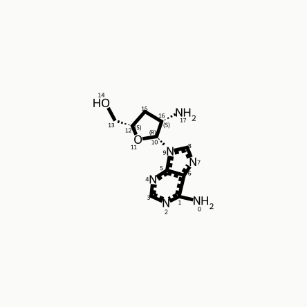 Nc1ncnc2c1ncn2[C@@H]1O[C@H](CO)C[C@@H]1N